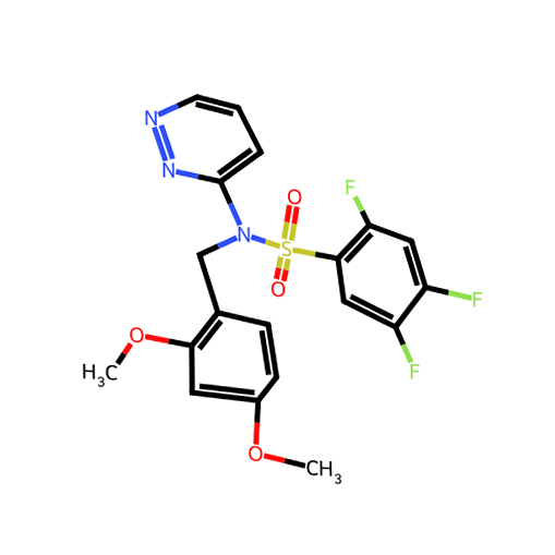 COc1ccc(CN(c2cccnn2)S(=O)(=O)c2cc(F)c(F)cc2F)c(OC)c1